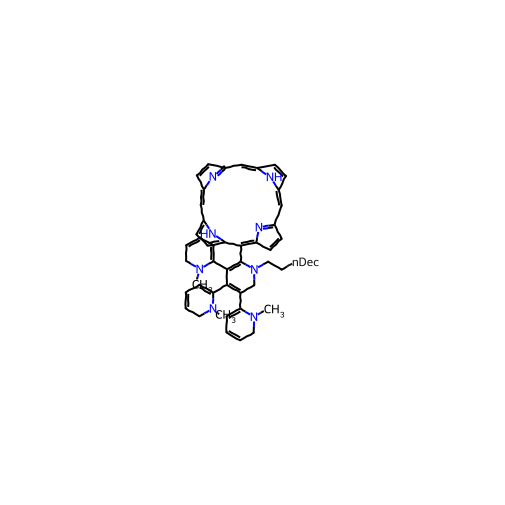 CCCCCCCCCCCCN1CC(C2=CC=CCN2C)=C(C2=CC=CCN2C)C(C2=CC=CCN2C)=C1c1c2nc(cc3ccc(cc4nc(cc5ccc1[nH]5)C=C4)[nH]3)C=C2